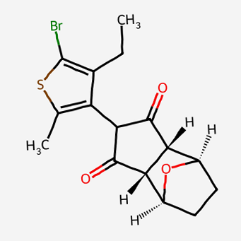 CCc1c(Br)sc(C)c1C1C(=O)[C@@H]2[C@H](C1=O)[C@H]1CC[C@@H]2O1